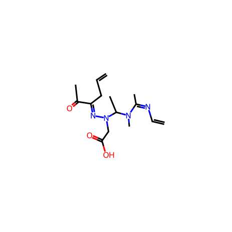 C=CC/C(=N\N(CC(=O)O)C(C)N(C)/C(C)=N\C=C)C(C)=O